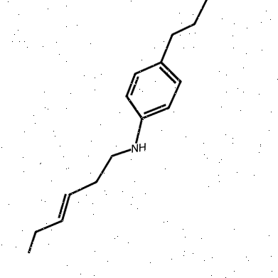 CCC=CCCNc1ccc(CCC=O)cc1